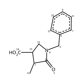 CC1C(=O)N(Cc2ccccc2)CC1C(=O)O